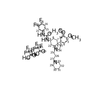 COc1ccc(C23CCC(NC(=O)Nc4ccc(F)c(F)c4)CC2N(CCCN2CCCCC2)CC3)cc1OC.O=C(O)C(F)(F)F.O=C(O)C(F)(F)F